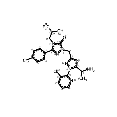 CC(N)c1nc(Cn2nc(-c3ccc(Cl)cc3)n(C[C@H](O)C(F)(F)F)c2=O)nn1-c1ncccc1Cl